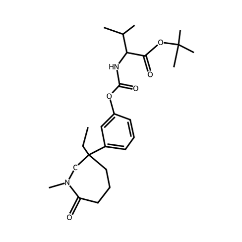 CCC1(c2cccc(OC(=O)NC(C(=O)OC(C)(C)C)C(C)C)c2)CCCC(=O)N(C)C1